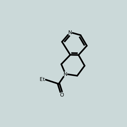 CCC(=O)N1CCc2ccncc2C1